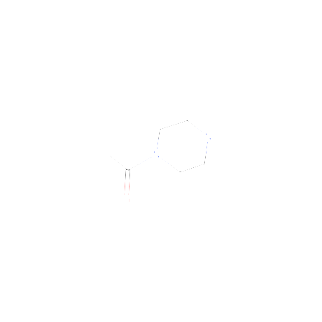 CC(=O)N1C[CH][N]CC1